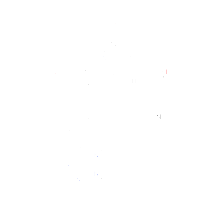 Cn1nnc(CCCC2=C(C(=O)[O-])N3C(=O)[C@H](CO)[C@H]3S2)n1.[Na+]